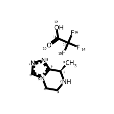 C[C@H]1NCCn2cnnc21.O=C(O)C(F)(F)F